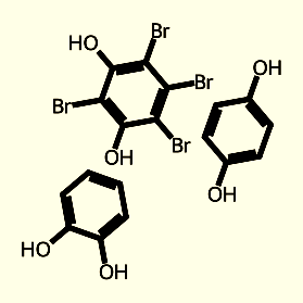 Oc1c(Br)c(O)c(Br)c(Br)c1Br.Oc1ccc(O)cc1.Oc1ccccc1O